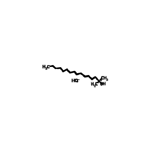 CCCCCCCCCCCCCC[N+](C)(C)O.[OH-]